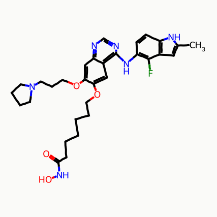 Cc1cc2c(F)c(Nc3ncnc4cc(OCCCN5CCCC5)c(OCCCCCCC(=O)NO)cc34)ccc2[nH]1